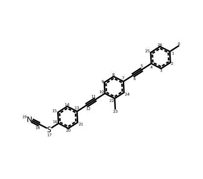 Cc1ccc(C#Cc2ccc(C#Cc3ccc(SC#N)cc3)c(C)c2)cc1